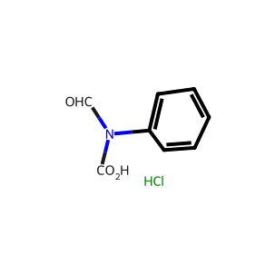 Cl.O=CN(C(=O)O)c1ccccc1